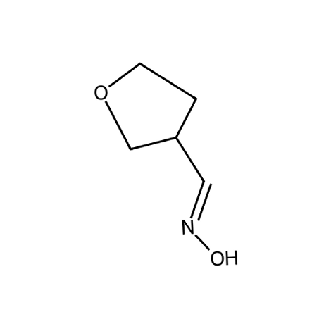 ON=CC1CCOC1